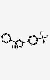 FC(F)(F)c1ccc(-c2c[nH]c(-c3ccccc3)c2)cc1